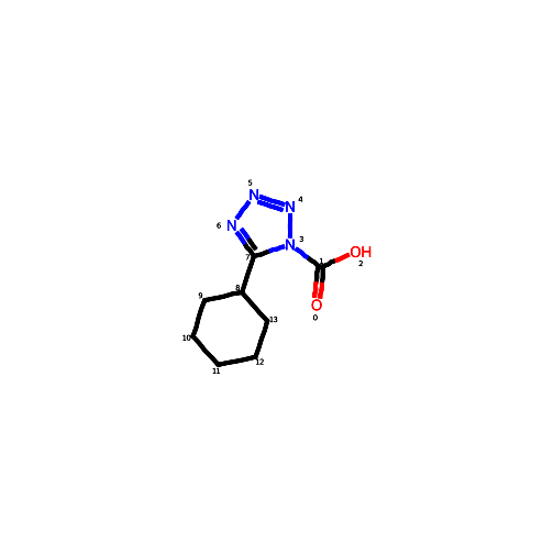 O=C(O)n1nnnc1C1CCCCC1